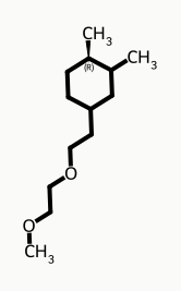 COCCOCCC1CC[C@@H](C)C(C)C1